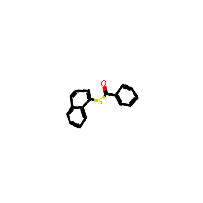 O=C(Sc1cccc2ccccc12)c1ccccc1